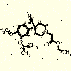 CCOC(=O)CN1CCC(C#N)(c2ccc(OC)c(OC(C)C)c2)CC1